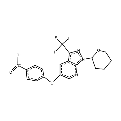 O=[N+]([O-])c1ccc(Oc2cnc3c(c2)c(C(F)(F)F)nn3C2CCCCO2)cc1